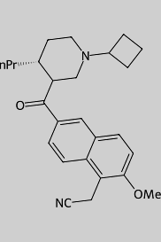 CCC[C@@H]1CCN(C2CCC2)CC1C(=O)c1ccc2c(CC#N)c(OC)ccc2c1